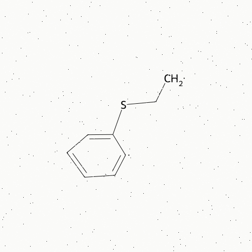 [CH2]CSc1[c]cccc1